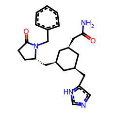 NC(=O)C[C@H]1C[C@@H](Cc2cnc[nH]2)C[C@@H](C[C@@H]2CCC(=O)N2Cc2ccccc2)C1